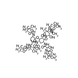 CN(C(=O)OC(C)(C)C)[C@@H]1[C@@H](O)[C@@H](O[C@@H]2[C@@H](O)[C@H](O[C@H]3OC(CNC[C@H]4COC(C)(C)O4)=CC[C@H]3NC(=O)OC(C)(C)C)[C@@H](NC(=O)OC(C)(C)C)C[C@H]2NC(=O)[C@@H](O)NC(=O)OC(C)(C)C)OC[C@]1(C)O